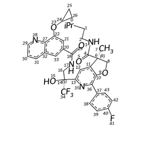 CC(C)CCNC(=O)[C@@]1(C)COc2c1cc([C@@](O)(CNC(=O)c1cc(OC3CC3)c3ncccc3c1)C(F)(F)F)nc2-c1ccc(F)cc1